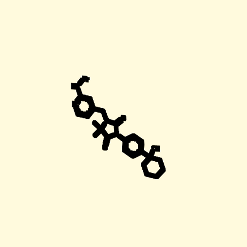 CC(C)Nc1cc(CN2C(=O)N(c3ccc(C4(C#N)CCCCC4)cc3)C(=O)C2(C)C)ccn1